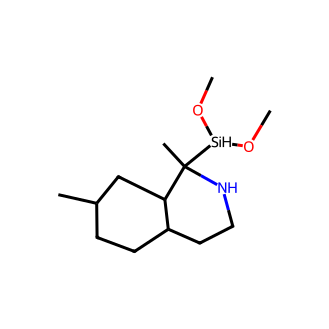 CO[SiH](OC)C1(C)NCCC2CCC(C)CC21